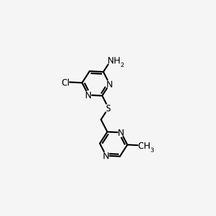 Cc1cncc(CSc2nc(N)cc(Cl)n2)n1